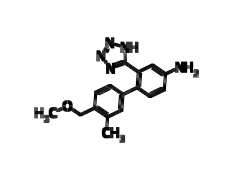 COCc1ccc(-c2ccc(N)cc2-c2nnn[nH]2)cc1C